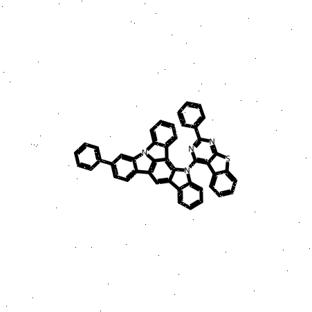 c1ccc(-c2ccc3c4cc5c6ccccc6n(-c6nc(-c7ccccc7)nc7sc8ccccc8c67)c5c5c6ccccc6n(c3c2)c45)cc1